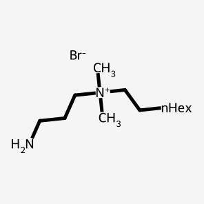 CCCCCCCC[N+](C)(C)CCCN.[Br-]